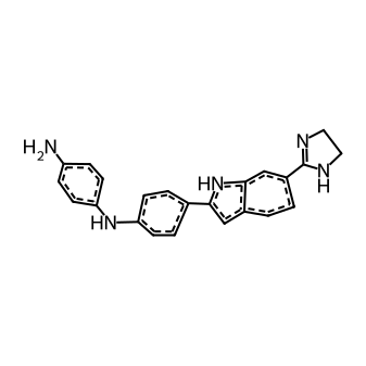 Nc1ccc(Nc2ccc(-c3cc4ccc(C5=NCCN5)cc4[nH]3)cc2)cc1